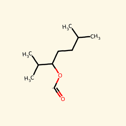 CC(C)CCC(O[C]=O)C(C)C